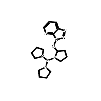 c1cnc2c(c1)nnn2OC1CCCN1P(N1CCCC1)N1CCCC1